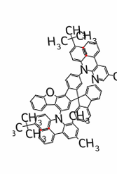 Cc1cnc(N(c2ccc(C(C)(C)C)cc2)c2ccc3c(c2)C2(c4ccccc4-c4ccccc42)c2cc(N(c4ccc(C(C)(C)C)cc4)c4c(C)cc(C)cc4-c4ccccc4)c4c(oc5ccccc54)c2-3)c(-c2ccccc2)c1